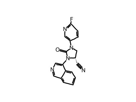 N#C[C@H]1CN(c2ccc(F)nc2)C(=O)N1c1cncc2ccccc12